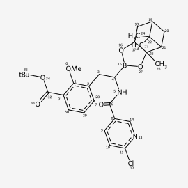 COc1c(CC(NC(=O)c2ccc(Cl)nc2)B2OC3CC4CC(C4(C)C)C3(C)O2)cccc1C(=O)OC(C)(C)C